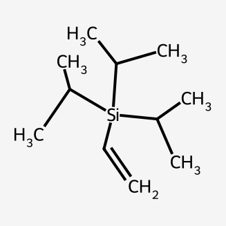 C=C[Si](C(C)C)(C(C)C)C(C)C